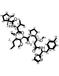 CC[C@H](C)[C@@H]([C@@H](CC(=O)N1CCC[C@H]1[C@H](OC)[C@@H](C)C(=O)N[C@@H](Cc1ccc(C)cc1)c1nccs1)OC)N(C)C(=O)[C@@H](NC(=O)[C@]1(C)CCCN1C)C(C)C